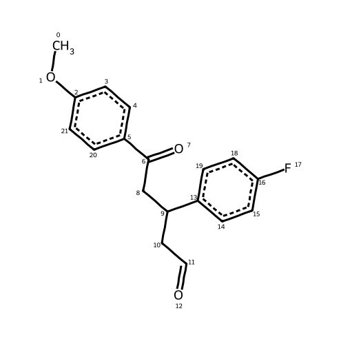 COc1ccc(C(=O)CC(CC=O)c2ccc(F)cc2)cc1